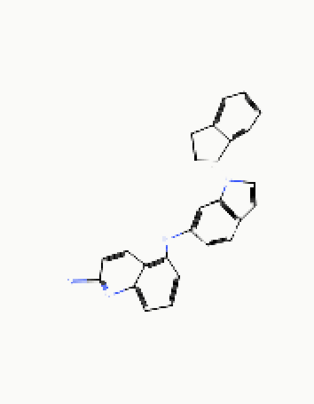 Nc1ccc2c(Nc3ccc4ccn([C@@H]5CCc6ccccc65)c4c3)cccc2n1